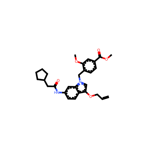 C=CCOc1cn(Cc2ccc(C(=O)OC)cc2OC)c2cc(NC(=O)CC3CCCC3)ccc12